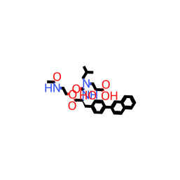 CC(=O)NCCOC(=O)[C@H](Cc1ccc(-c2ccc3ccccc3c2)cc1)NC(=O)N(CC(C)C)CC(O)C(=O)O